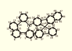 c1ccc2c(c1)-c1cccc3cccc(c13)-c1ccccc1N2c1ccc2c(c1)C1(c3ccccc3-c3ccccc31)c1cc3ccccc3cc1-2